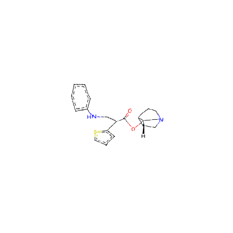 O=C(O[C@H]1CN2CCC1CC2)C(CNc1ccccc1)c1cccs1